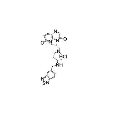 Cl.O=c1ccc2ncc(=O)n3c2n1C[C@H]3CN1CCC(NCc2ccc3nsnc3c2)CC1